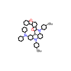 CC(C)(C)c1ccc(N2c3ccc(N(c4ccccc4)c4ccccc4)cc3B3c4oc5c(ccc6oc7ccccc7c65)c4N(c4ccc(C(C)(C)C)cc4)c4cccc2c43)cc1